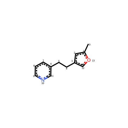 Cc1cc(CCc2cccnc2)co1